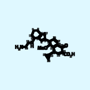 COc1c(-c2cc3c(s2)CCCC3NCCN)ccc2c(=O)c(C(=O)O)cn(C3CC3)c12